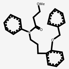 COCCC(=O)N(CCCc1ccccc1OCc1ccccc1)c1ccccc1